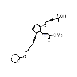 COC(=O)/C=C/c1c(C#CCCCCOC2CCCCO2)cccc1OCC#CC(C)(C)O